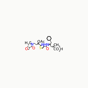 CC(=O)O[C@H](CCN(C)C(=O)C1COC1)c1nc(C(=O)N[C@@H](Cc2ccccc2)C[C@H](C)C(=O)O)cs1